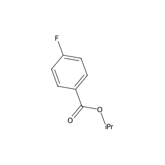 CC(C)OC(=O)c1ccc(F)cc1